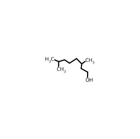 C[C](C)CCCC(C)CCO